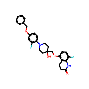 O=C1CCc2c(OCC3(O)CCN(c4ccc(OCc5ccccc5)cc4F)CC3)ccc(F)c2N1